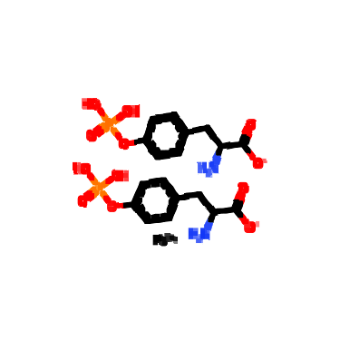 N[C@@H](Cc1ccc(OP(=O)(O)O)cc1)C(=O)[O-].N[C@@H](Cc1ccc(OP(=O)(O)O)cc1)C(=O)[O-].[Pb+2]